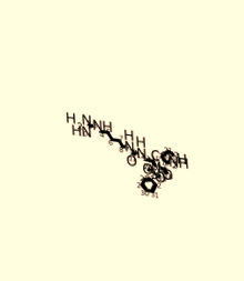 N=C(N)NCCCCCNC(=O)NC[C@@H](C(=O)O)N(C(=O)[C@@H]1CCCN1)S(=O)(=O)c1ccccc1